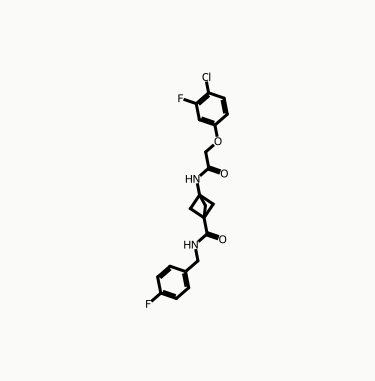 O=C(COc1ccc(Cl)c(F)c1)NC12CC(C(=O)NCc3ccc(F)cc3)(C1)C2